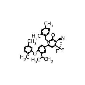 Cc1ccc(Cn2c(-c3ccc(Oc4cc(C)ccc4C)c(C(C)C)c3)cc(C(F)(F)F)c(C#N)c2=O)c(C)c1